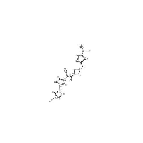 C[C@@H](O)c1nnc(C[C@H]2C[C@H](NC(=O)c3cc(-c4ccc(F)s4)no3)C2)o1